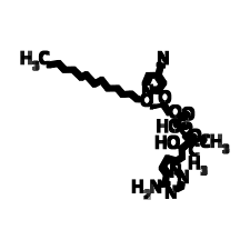 CCCCCCCCCCCCCCOC[C@H](COP(=O)(O)OC[C@@](C)(OC)[C@@H](O)Cc1ccc2c(N)ncnn12)Oc1cc(C#N)ccn1